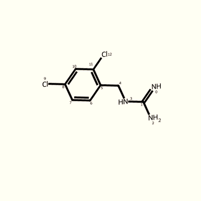 N=C(N)NCc1ccc(Cl)cc1Cl